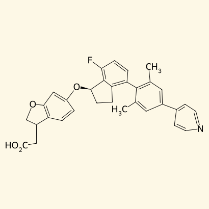 Cc1cc(-c2ccncc2)cc(C)c1-c1ccc(F)c2c1CC[C@H]2Oc1ccc2c(c1)OCC2CC(=O)O